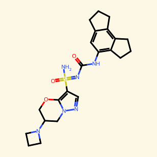 NS(=O)(=NC(=O)Nc1cc2c(c3c1CCC3)CCC2)c1cnn2c1OCC(N1CCC1)C2